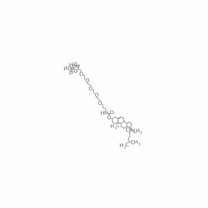 CC(C)CCC[C@H](C)C1CCC2C3CC=C4C[C@@H](OC(=O)NCCCOCCOCCOCCOCCOCC(CO)OP(=O)(O)O)CC[C@]4(C)C3CC[C@@]21C